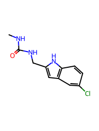 CNC(=O)NCc1cc2cc(Cl)ccc2[nH]1